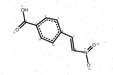 O=C(O)c1ccc(C=C[N+](=O)[O-])cc1